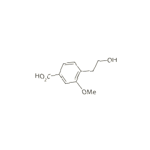 COc1cc(C(=O)O)ccc1CCO